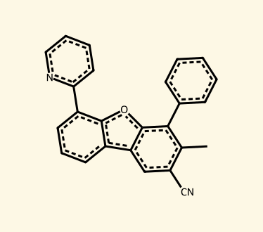 Cc1c(C#N)cc2c(oc3c(-c4ccccn4)cccc32)c1-c1ccccc1